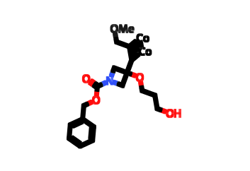 COC[C]12[Co]3[Co]1[C]32C1(OCCCO)CN(C(=O)OCc2ccccc2)C1